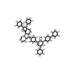 C1=CC2c3c(ccc4c(-c5ccccc5)c(-c5ccccc5)oc34)N(c3ccc(C4=NC(c5ccccc5)=CC(c5ccc(-c6ccccc6)cc5)N4)cc3)C2C=C1